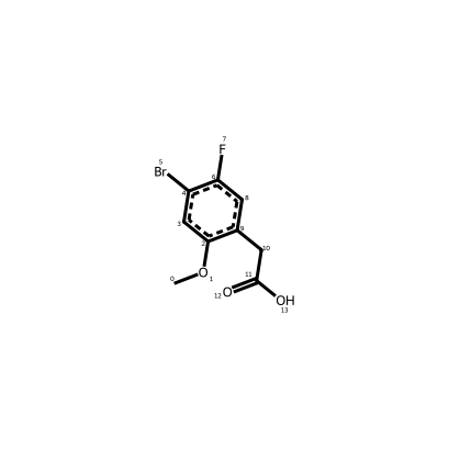 COc1cc(Br)c(F)cc1CC(=O)O